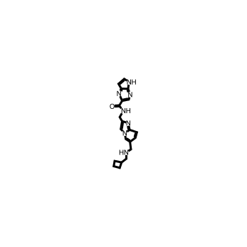 O=C(NCc1cn2cc(CNCC3CCC3)ccc2n1)c1cnc2[nH]ccc2n1